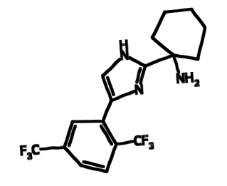 NC1(c2nc(-c3cc(C(F)(F)F)ccc3C(F)(F)F)c[nH]2)CCCCC1